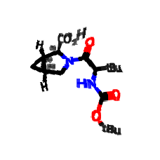 CC(C)(C)OC(=O)NC(C(=O)N1C[C@@H]2C[C@@H]2[C@H]1C(=O)O)C(C)(C)C